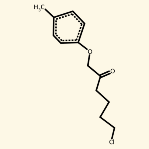 Cc1ccc(OCC(=O)CCCCCl)cc1